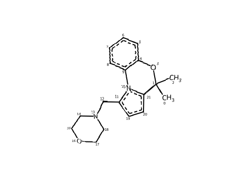 CC1(C)Oc2ccccc2-n2c(CN3CCOCC3)ccc21